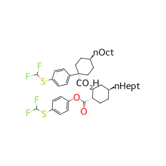 CCCCCCCC[C@H]1CC[C@@](C(=O)O)(c2ccc(SC(F)F)cc2)CC1.CCCCCCC[C@H]1CC[C@H](C(=O)Oc2ccc(SC(F)F)cc2)CC1